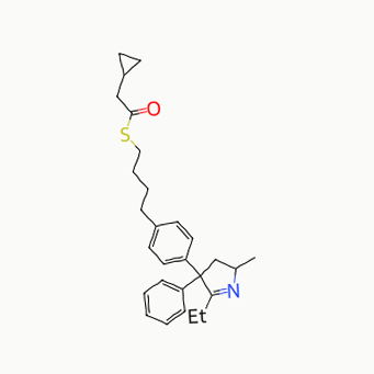 CCC1=NC(C)CC1(c1ccccc1)c1ccc(CCCCSC(=O)CC2CC2)cc1